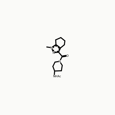 CC(=O)NC1CCN(C(=O)c2nn(C)c3c2CCCC3)CC1